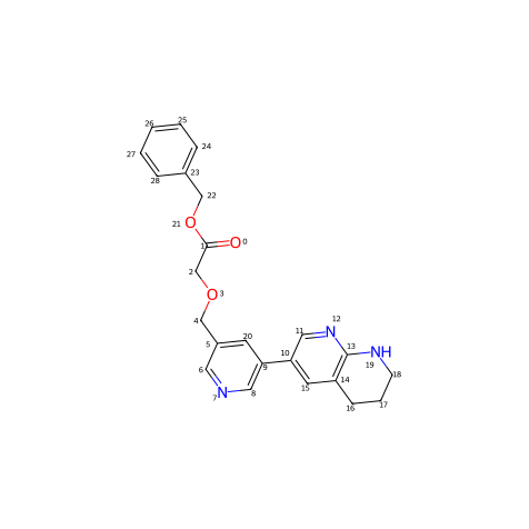 O=C(COCc1cncc(-c2cnc3c(c2)CCCN3)c1)OCc1ccccc1